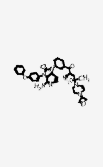 CC(C)(C=C(C#N)C(=O)C1CCC[C@@H](n2c(=O)n(-c3ccc(Oc4ccccc4)cc3)c3c(N)nccc32)C1)N1CCN(C2COC2)CC1